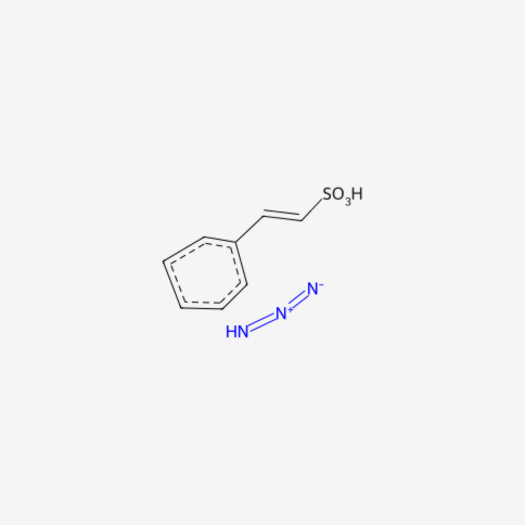 O=S(=O)(O)C=Cc1ccccc1.[N-]=[N+]=N